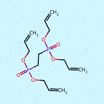 C=CCOP(=O)(CCP(=O)(OCC=C)OCC=C)OCC=C